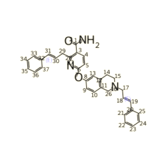 NC(=O)c1ccc(Oc2ccc3c(c2)CCN(C/C=C/c2ccccc2)C3)nc1C/C=C/c1ccccc1